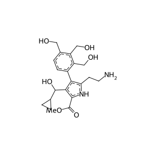 COC(=O)c1[nH]c(CCN)c(-c2ccc(CO)c(CO)c2CO)c1C(O)C1CC1